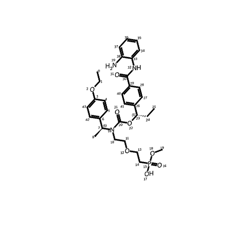 CCOc1ccc([C@H](C)N(CCOCCP(=O)(O)OC)C(=O)O[C@@H](CC)c2ccc(C(=O)Nc3ccccc3N)cc2)cc1